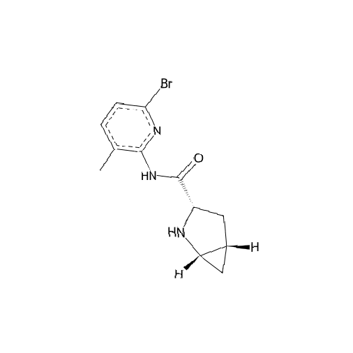 Cc1ccc(Br)nc1NC(=O)[C@@H]1C[C@@H]2C[C@@H]2N1